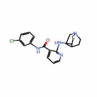 O=C(Nc1cccc(Cl)c1)c1cccnc1NC1CN2CCC1CC2